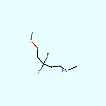 CNCCC(F)(F)CCOC